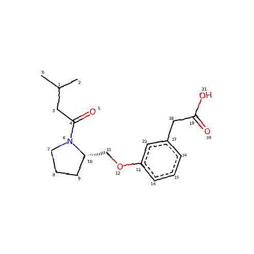 CC(C)CC(=O)N1CCC[C@H]1COc1cccc(CC(=O)O)c1